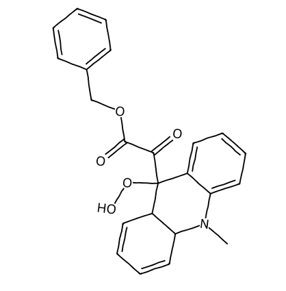 CN1c2ccccc2C(OO)(C(=O)C(=O)OCc2ccccc2)C2C=CC=CC21